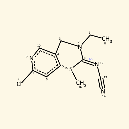 CCN(Cc1ccc(Cl)nc1)/C(=N/C#N)SC